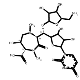 CN1C[C@H](O)[C@@H](C(=O)O)N(C)C(=O)[C@@H]1[C@H](OC1OC(CN)C(O)C1O)C1OC(n2ccc(=O)[nH]c2=O)C(O)C1O